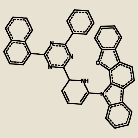 C1=CC(c2nc(-c3ccccc3)nc(-c3cccc4ccccc34)n2)NC(n2c3ccccc3c3ccc4c5ccccc5oc4c32)=C1